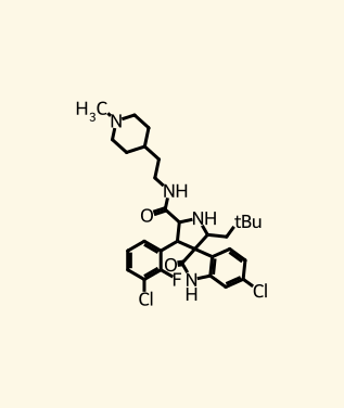 CN1CCC(CCNC(=O)C2NC(CC(C)(C)C)C3(C(=O)Nc4cc(Cl)ccc43)C2c2cccc(Cl)c2F)CC1